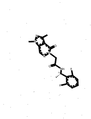 Cc1nn(C)c2cnn(CC(=O)N[C@@H](C)c3c(F)cccc3F)c(=O)c12